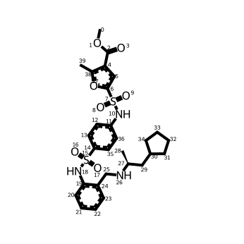 COC(=O)c1cc(S(=O)(=O)Nc2ccc(S(=O)(=O)Nc3ccccc3CN[C@@H](C)CC3CCCC3)cc2)oc1C